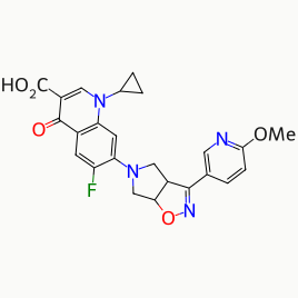 COc1ccc(C2=NOC3CN(c4cc5c(cc4F)c(=O)c(C(=O)O)cn5C4CC4)CC23)cn1